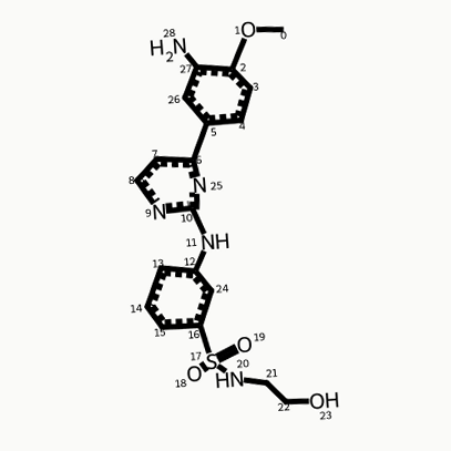 COc1ccc(-c2ccnc(Nc3cccc(S(=O)(=O)NCCO)c3)n2)cc1N